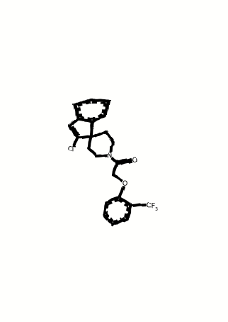 O=C(COc1ccccc1C(F)(F)F)N1CCC2(CC1)C(Cl)=Cc1ccccc12